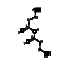 O=C(CCS)OC(=O)CCS